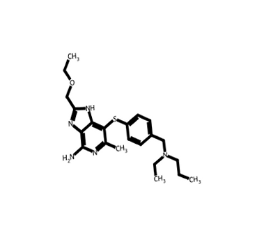 CCCN(CC)Cc1ccc(Sc2c(C)nc(N)c3nc(COCC)[nH]c23)cc1